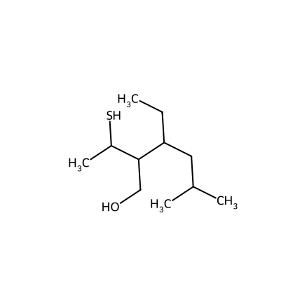 CCC(CC(C)C)C(CO)C(C)S